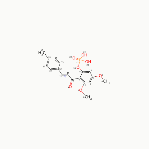 COc1cc(OC)c(C(=O)/C=C/c2ccc(C)cc2)c(OP(=O)(O)O)c1